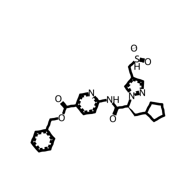 O=C(OCc1ccccc1)c1ccc(NC(=O)[C@H](CC2CCCC2)n2cc(C[SH](=O)=O)cn2)nc1